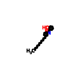 CCCCCCCCCCCCc1ccc2oc(-c3ccccc3O)nc2c1